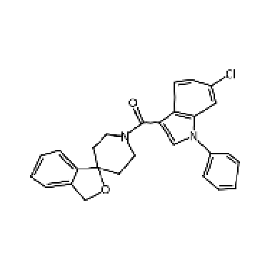 O=C(c1cn(-c2ccccc2)c2cc(Cl)ccc12)N1CCC2(CC1)OCc1ccccc12